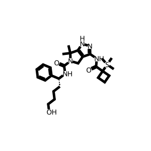 CC1(C)c2[nH]nc(NC(=O)C3(S(C)(C)C)CCC3)c2CN1C(=O)N[C@H](CCCCO)c1ccccc1